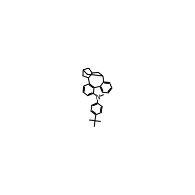 CN(c1ccc(C(C)(C)C)cc1)c1cccc2c1-c1ccccc1C1CC3CC(C1)C2C3